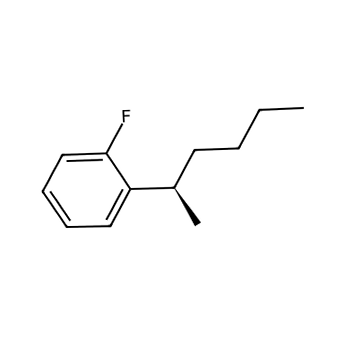 CCCC[C@@H](C)c1ccccc1F